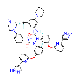 CN1CCN(c2cccc(NC(=O)N(c3cc(Oc4cccc(-c5cn[nH]c5)n4)ccc3F)N(C(=O)Nc3cc(N4CCCCC4)cc(C(F)(F)F)c3)c3cc(Oc4cccc(-c5cnn(C)c5)n4)ccc3F)c2)CC1